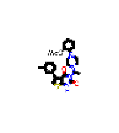 COc1ccccc1N1CCN(C(C)n2c(=O)[nH]c3scc(-c4cccc(C)c4)c3c2=O)CC1